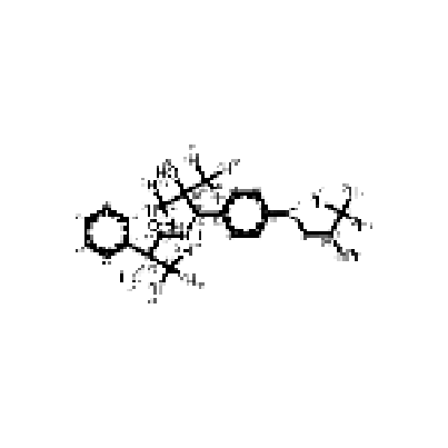 [2H]C([2H])([2H])[C@@H](CCC)COc1ccc([C@@H](NC(=O)[C@](O)(c2ccccc2)C([2H])([2H])[2H])C(O)(C([2H])([2H])[2H])C([2H])([2H])[2H])cc1